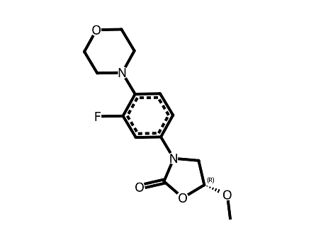 CO[C@H]1CN(c2ccc(N3CCOCC3)c(F)c2)C(=O)O1